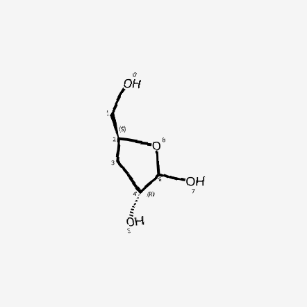 OC[C@@H]1C[C@@H](O)C(O)O1